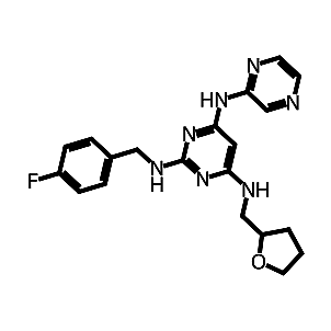 Fc1ccc(CNc2nc(NCC3CCCO3)cc(Nc3cnccn3)n2)cc1